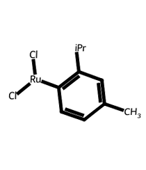 Cc1cc[c]([Ru]([Cl])[Cl])c(C(C)C)c1